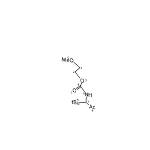 COCCOC(=O)NC(C(C)=O)C(C)(C)C